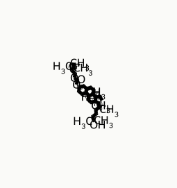 C[C@H](CCCC(C)(C)O)[C@H]1CC[C@H]2[C@@H]3CC=C4C[C@@H](OC(=O)OCC[N+](C)(C)C)CC[C@]4(C)[C@H]3CC[C@]12C